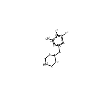 Fc1cc(CC2CCNCC2)cc(Cl)c1F